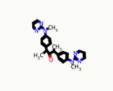 CC(C(=O)C(C)c1ccc(N(C)c2ncccn2)cc1)c1ccc(N(C)c2ncccn2)cc1